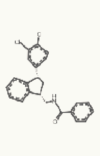 O=C(NC[C@H]1C[C@@H](c2ccc(Cl)c(Cl)c2)c2ccccc21)c1ccccc1